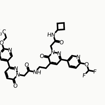 O=C(Cn1nc(-c2cnc(OCC(F)(F)F)nc2)ccc1=O)NCCc1cc(-c2ccc(OC(F)F)nc2)nn(CC(=O)NC2CCC2)c1=O